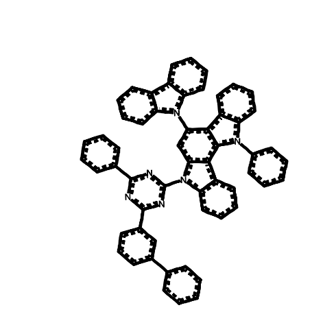 c1ccc(-c2cccc(-c3nc(-c4ccccc4)nc(-n4c5ccccc5c5c4cc(-n4c6ccccc6c6ccccc64)c4c6ccccc6n(-c6ccccc6)c45)n3)c2)cc1